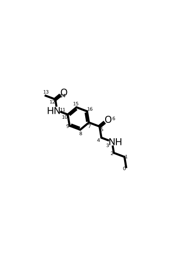 CCCNCC(=O)c1ccc(NC(C)=O)cc1